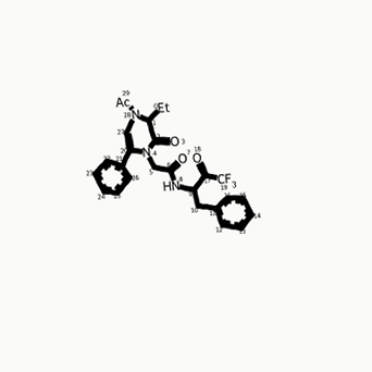 CCC1C(=O)N(CC(=O)NC(Cc2ccccc2)C(=O)C(F)(F)F)C(c2ccccc2)=CN1C(C)=O